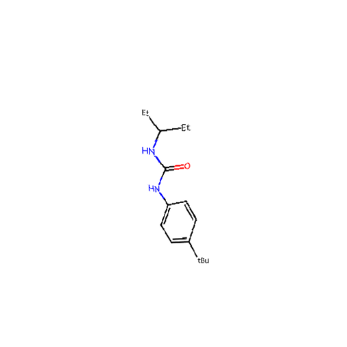 CCC(CC)NC(=O)Nc1ccc(C(C)(C)C)cc1